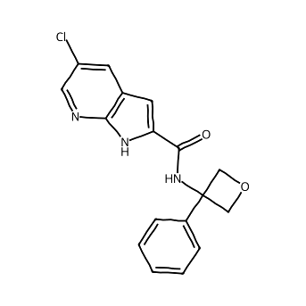 O=C(NC1(c2ccccc2)COC1)c1cc2cc(Cl)cnc2[nH]1